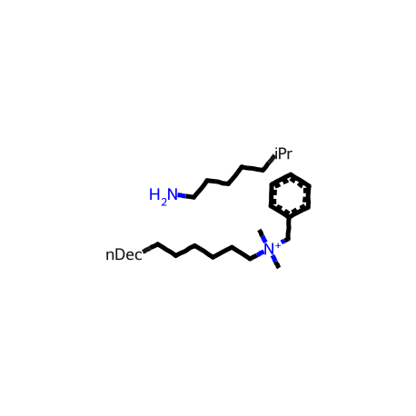 CC(C)CCCCCN.CCCCCCCCCCCCCCCC[N+](C)(C)Cc1ccccc1